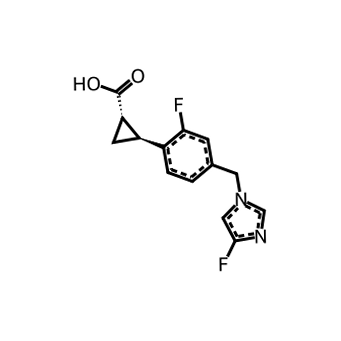 O=C(O)[C@H]1C[C@@H]1c1ccc(Cn2cnc(F)c2)cc1F